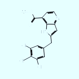 COC(=O)c1ccnc2cc(Cc3cc(Cl)c(Cl)c(Cl)c3)[nH]c12